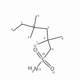 CCC(C)(C)CC(C)(C)CS(N)(=O)=O